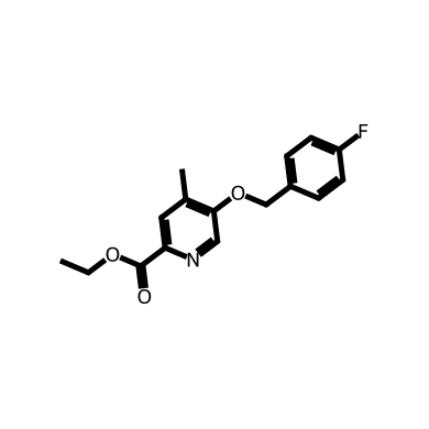 CCOC(=O)c1cc(C)c(OCc2ccc(F)cc2)cn1